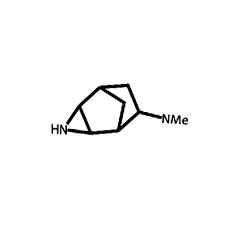 CNC1CC2CC1C1NC21